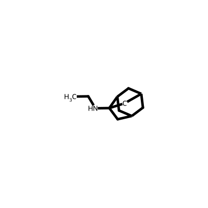 CCNC12CC3CC(CC1C3)C2